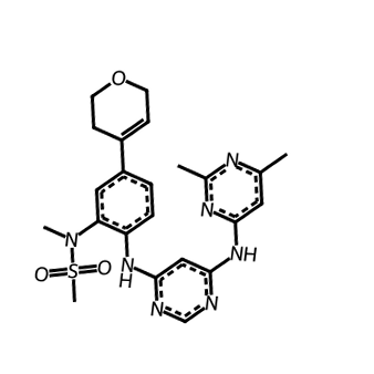 Cc1cc(Nc2cc(Nc3ccc(C4=CCOCC4)cc3N(C)S(C)(=O)=O)ncn2)nc(C)n1